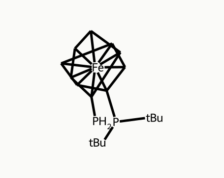 CC(C)(C)P(C(C)(C)C)[C]12[CH]3[CH]4[CH]5[CH]1[Fe]45321678[CH]2[CH]1[CH]6[C]7(P)[CH]28